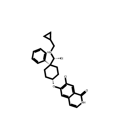 CC[C@@H](NCC1CC1)[C@]1(c2ccccc2)CC[C@@H](Oc2cc3cc[nH]c(=O)c3cc2Cl)CC1